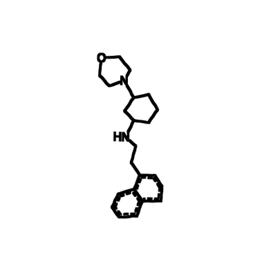 c1ccc2c(CCNC3CCCC(N4CCOCC4)C3)cccc2c1